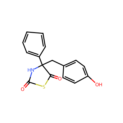 O=C1NC(Cc2ccc(O)cc2)(c2ccccc2)C(=O)S1